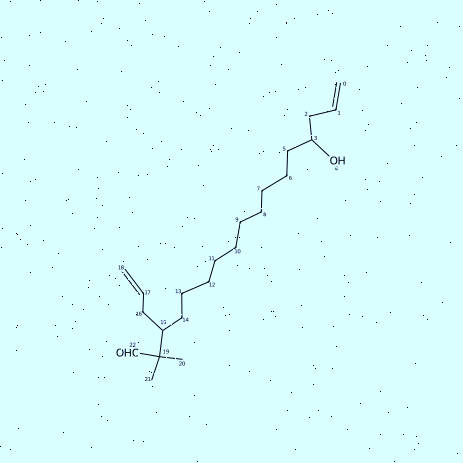 C=CCC(O)CCCCCCCCCCC(CC=C)C(C)(C)C=O